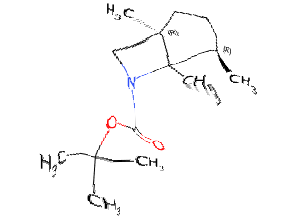 C[C@@H]1CC[C@]2(C)CN(C(=O)OC(C)(C)C)C12C